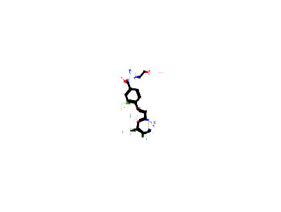 CN(CCO)C(=O)c1ccc(-c2cc3ncc(Cl)c(Cl)c3o2)c(F)c1